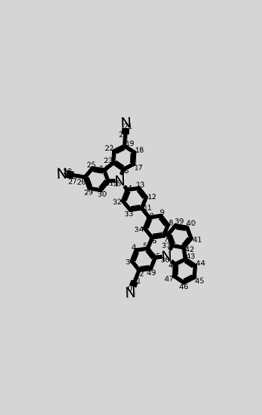 N#Cc1ccc(-c2cccc(-c3ccc(-n4c5ccc(C#N)cc5c5cc(C#N)ccc54)cc3)c2)c(-n2c3ccccc3c3ccccc32)c1